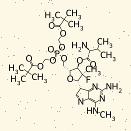 CNc1nc(N)nc2c1N=CC2[C@@H]1O[C@H](COP(=O)(OCOC(=O)C(C)(C)C)OCOC(=O)C(C)(C)C)[C@@H](OC(=O)[C@@H](N)C(C)C)[C@@]1(C)F